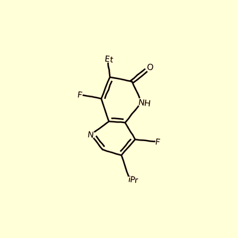 CCc1c(F)c2ncc(C(C)C)c(F)c2[nH]c1=O